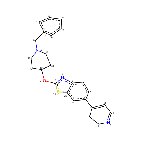 C1=NCCC(c2ccc3nc(OC4CCN(Cc5ccccc5)CC4)sc3c2)=C1